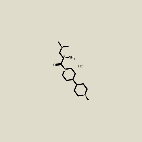 CN(C)C[C@@H](N)C(=O)N1CCC(C2CCN(C)CC2)CC1.Cl